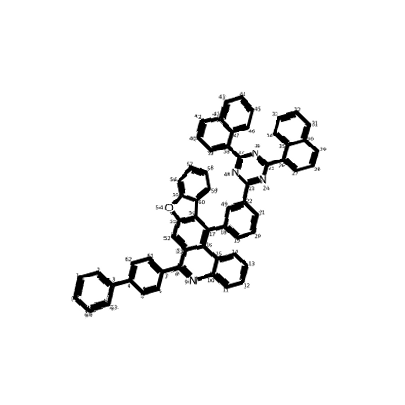 c1ccc(-c2ccc(-c3nc4ccccc4c4c(-c5cccc(-c6nc(-c7cccc8ccccc78)nc(-c7cccc8ccccc78)n6)c5)c5c(cc34)oc3ccccc35)cc2)cc1